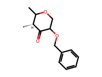 CC1OCC(OCc2ccccc2)C(=O)[C@@H]1C